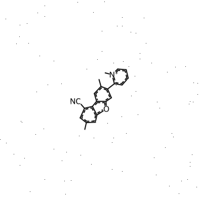 Cc1cc(C#N)c2c(c1)oc1cc(-c3cccc[n+]3C)c(C)cc12